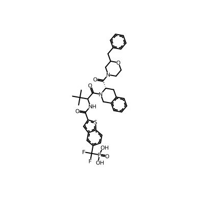 CC(C)(C)C(NC(=O)c1cc2cc(C(F)(F)P(=O)(O)O)ccc2s1)C(=O)N1Cc2ccccc2C[C@H]1C(=O)N1CCOC(Cc2ccccc2)C1